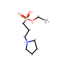 O=S(=O)(CCCN1CCCC1)OCC(F)(F)F